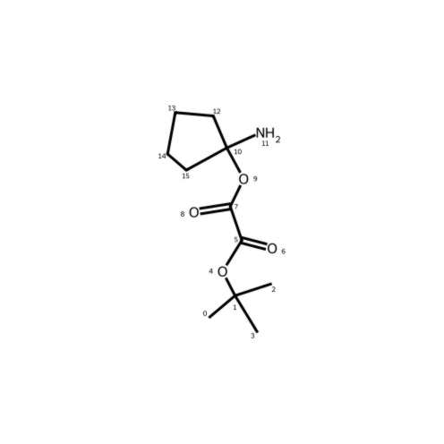 CC(C)(C)OC(=O)C(=O)OC1(N)CCCC1